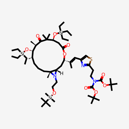 CC[Si](CC)(CC)O[C@H]1[C@@H](C)CCC[C@]2(C)[C@H](C[C@@H](/C(C)=C/c3csc(CCN(C(=O)OC(C)(C)C)C(=O)OC(C)(C)C)n3)OC(=O)C[C@H](O[Si](CC)(CC)CC)C(C)(C)C(=O)[C@@H]1C)N2CCO[Si](C)(C)C(C)(C)C